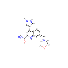 Cn1cc(-c2cc(C(N)=O)nc3cc(CN4CCOCC4)ccc23)cn1